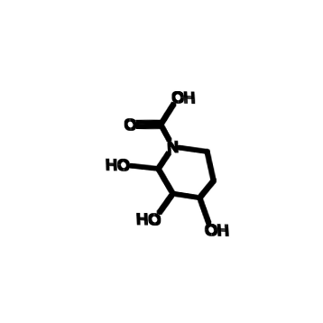 O=C(O)N1CCC(O)C(O)C1O